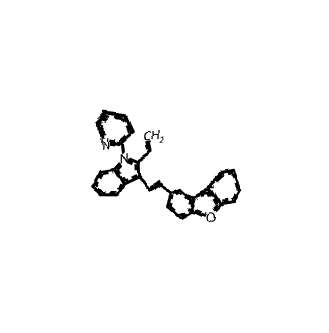 C=Cc1c(/C=C/c2ccc3oc4ccccc4c3c2)c2ccccc2n1-c1ccccn1